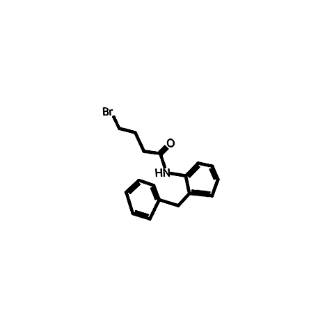 O=C(CCCBr)Nc1ccccc1Cc1ccccc1